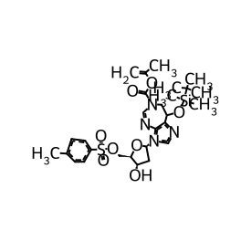 C=C(C)OC(=O)N1C=Nc2c(ncn2[C@H]2C[C@@H](O)[C@@H](COS(=O)(=O)c3ccc(C)cc3)O2)C(O[Si](C)(C)C(C)(C)C)C1